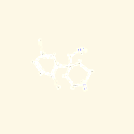 NCC1(c2cc(F)ccc2F)CCNCC1